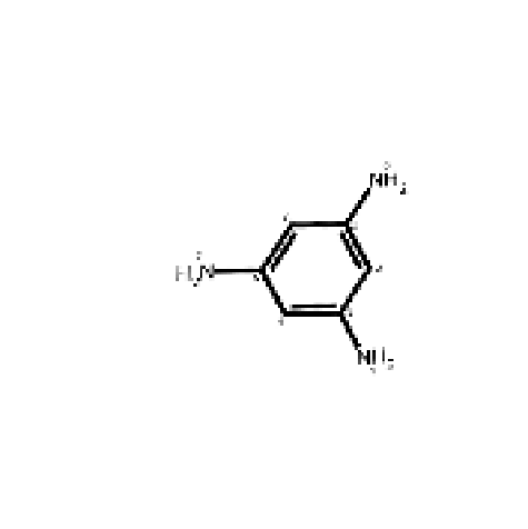 Nc1[c]c(N)cc(N)c1